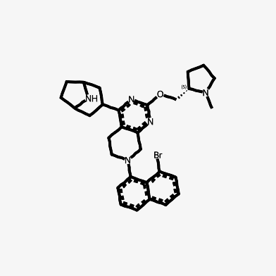 CN1CCC[C@H]1COc1nc2c(c(C3CC4CCC(C3)N4)n1)CCN(c1cccc3cccc(Br)c13)C2